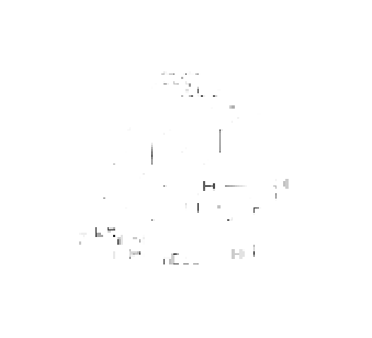 CCCCCCCCCCCCCCCCCC(=O)[O-].CCCCCCCCCCCCCCCCCC(=O)[O-].CCCCCCCCCCCCCCCCCC(=O)[O-].CCCCCCCCCCCCCCCCCC(=O)[O-].OCC(CO)(CO)CO.[Zr+4]